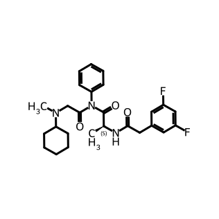 C[C@H](NC(=O)Cc1cc(F)cc(F)c1)C(=O)N(C(=O)CN(C)C1CCCCC1)c1ccccc1